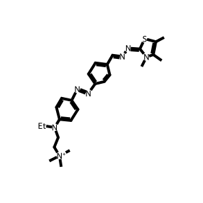 CCN(CC[N+](C)(C)C)c1ccc(N=Nc2ccc(C=NN=c3sc(C)c(C)n3C)cc2)cc1